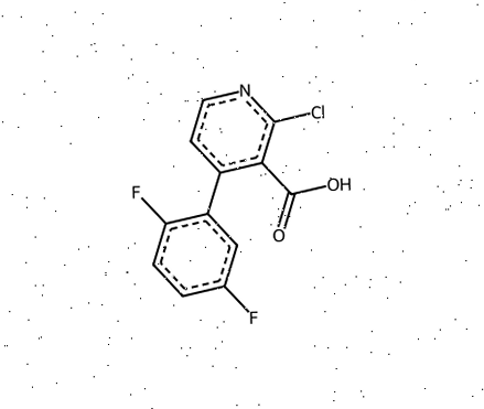 O=C(O)c1c(-c2cc(F)ccc2F)ccnc1Cl